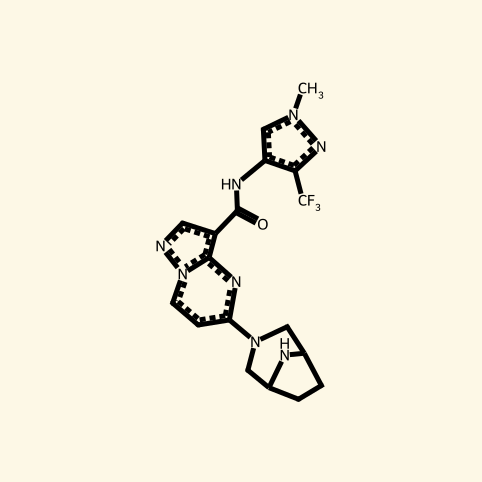 Cn1cc(NC(=O)c2cnn3ccc(N4CC5CCC(C4)N5)nc23)c(C(F)(F)F)n1